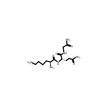 NCCCC[C@H](N)C(=O)N[C@@H](CCC(N)=O)C(=O)NCC(N)=O